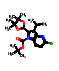 CC(C)c1c(B2OC(C)(C)C(C)(C)O2)n(C(=O)OC(C)(C)C)c2ccc(Br)nc12